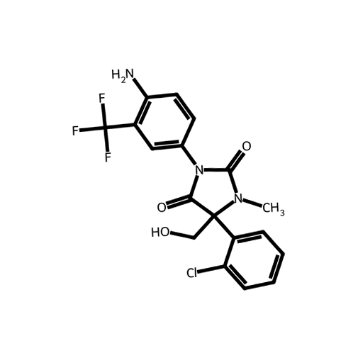 CN1C(=O)N(c2ccc(N)c(C(F)(F)F)c2)C(=O)C1(CO)c1ccccc1Cl